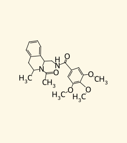 COc1cc(C(=O)NCC2c3ccccc3CC(C)N2C(C)=O)cc(OC)c1OC